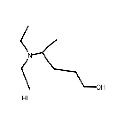 CCN(CC)C(C)CCCO.I